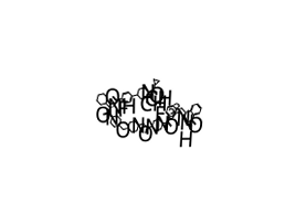 CC1(C)CC(c2ccc(C(=O)N[C@@H](C(=O)N3CCC(OC4CCN(CC(=O)N5CCN(C(=O)c6cc(Cc7n[nH]c(=O)c8ccccc78)ccc6F)CC5)CC4)CC3)C3CCCCC3)c(F)c2)CCN1C(=O)C1CC1